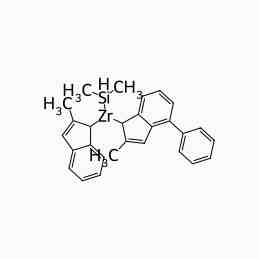 CC1=Cc2ccccc2[CH]1[Zr]([CH]1C(C)=Cc2c(-c3ccccc3)cccc21)[SiH](C)C